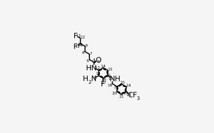 Nc1c(NC(=O)CCCC[C@@H](F)CF)ccc(NCc2ccc(C(F)(F)F)cc2)c1F